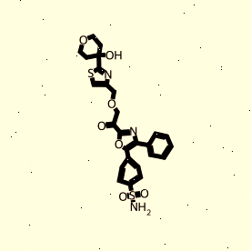 NS(=O)(=O)c1ccc(-c2oc(C(=O)COCc3csc(C4(O)CCOCC4)n3)nc2-c2ccccc2)cc1